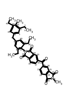 CCc1cc(Cc2cc(CC)c(N3C(=O)c4ccc(C(=O)c5ccc6c(c5)C(=O)N(C)C6=O)cc4C3=O)c(CC)c2)cc(CC)c1C